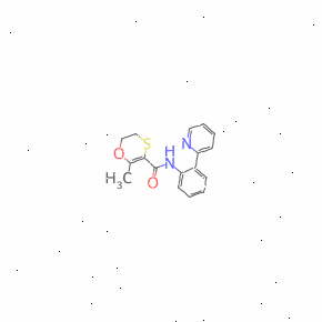 CC1=C(C(=O)Nc2ccccc2-c2ccccn2)SCCO1